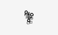 O=C(Nc1ccc(Cl)c(Cl)c1)c1ccccc1NS(=O)(=O)c1ccccc1F